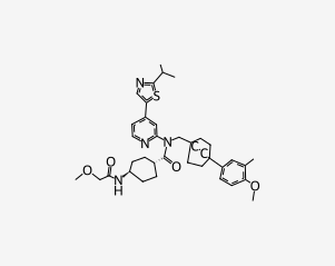 COCC(=O)N[C@H]1CC[C@H](C(=O)N(CC23CCC(c4ccc(OC)c(C)c4)(CC2)CC3)c2cc(-c3cnc(C(C)C)s3)ccn2)CC1